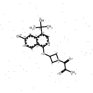 CC(=O)C(=O)N1CC(Oc2ncc(C(C)(C)O)c3cc(Cl)ncc23)C1